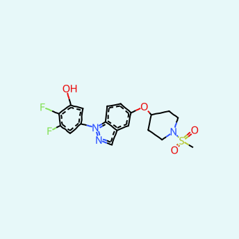 CS(=O)(=O)N1CCC(Oc2ccc3c(cnn3-c3cc(O)c(F)c(F)c3)c2)CC1